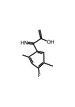 C=C(O)C(=N)c1cc(C)c(F)cc1C